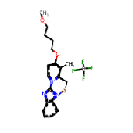 COCCCCOc1cc[n+]2c(c1C)CSn1c-2nc2ccccc21.F[B-](F)(F)F